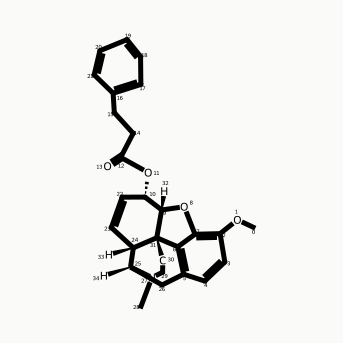 COc1ccc2c3c1O[C@H]1[C@@H](OC(=O)CCc4ccccc4)C=C[C@H]4[C@@H](C2)N(C)CC[C@@]341